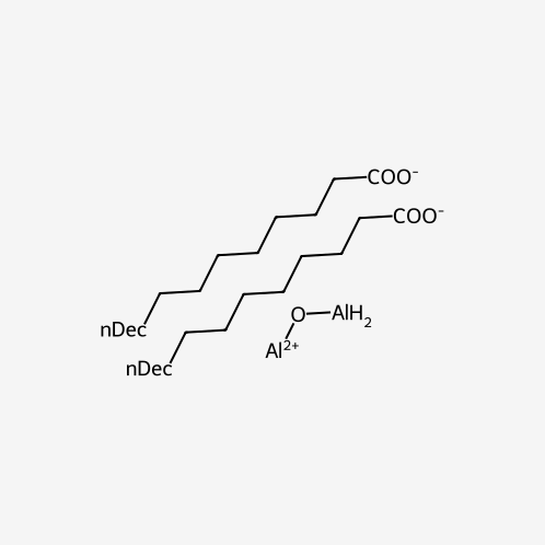 CCCCCCCCCCCCCCCCCC(=O)[O-].CCCCCCCCCCCCCCCCCC(=O)[O-].[Al+2][O][AlH2]